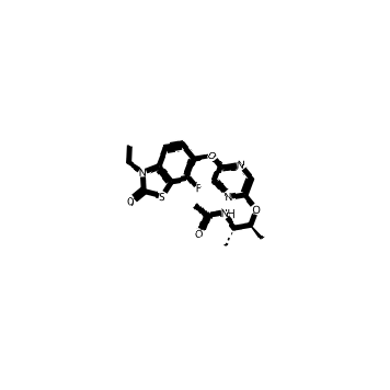 CCn1c(=O)sc2c(F)c(Oc3cnc(O[C@@H](C)[C@H](C)NC(C)=O)cn3)ccc21